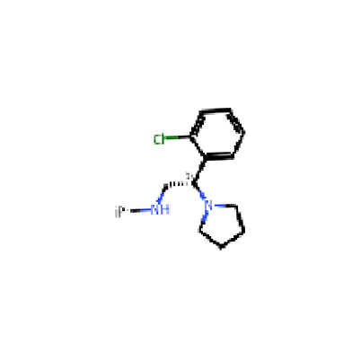 CC(C)NC[C@H](c1ccccc1Cl)N1CCCC1